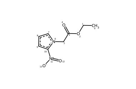 CCOC(=O)Cn1cccc1[N+](=O)[O-]